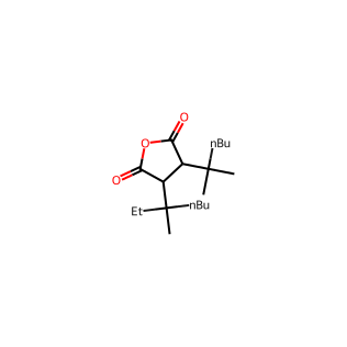 CCCCC(C)(C)C1C(=O)OC(=O)C1C(C)(CC)CCCC